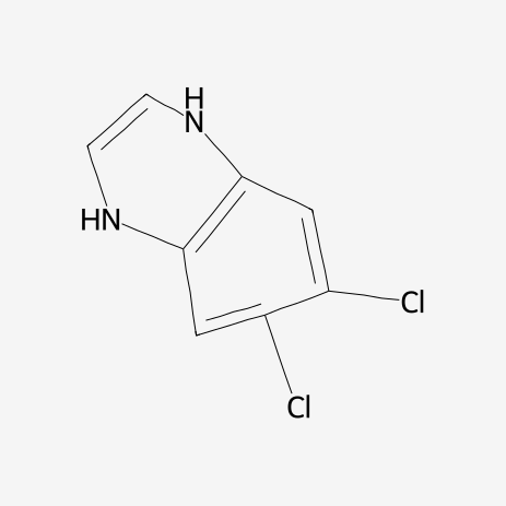 Clc1cc2c(cc1Cl)NC=CN2